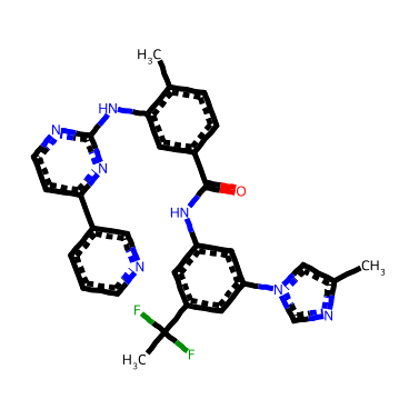 Cc1cn(-c2cc(NC(=O)c3ccc(C)c(Nc4nccc(-c5cccnc5)n4)c3)cc(C(C)(F)F)c2)cn1